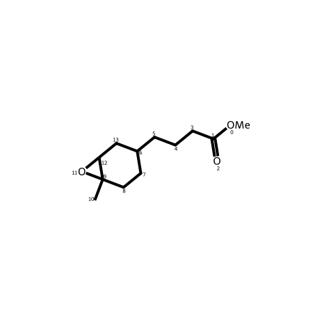 COC(=O)CCCC1CCC2(C)OC2C1